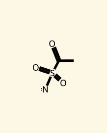 CC(=O)S([N])(=O)=O